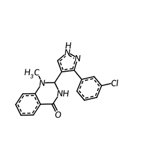 CN1c2ccccc2C(=O)NC1c1c[nH]nc1-c1cccc(Cl)c1